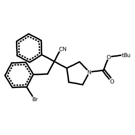 CC(C)(C)OC(=O)N1CCC(C(C#N)(Cc2ccccc2Br)c2ccccc2)C1